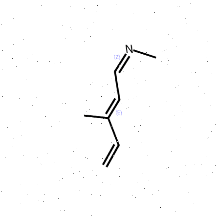 C=C/C(C)=C/C=N\C